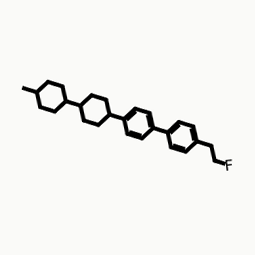 CC1CCC(C2CCC(c3ccc(-c4ccc(CCF)cc4)cc3)CC2)CC1